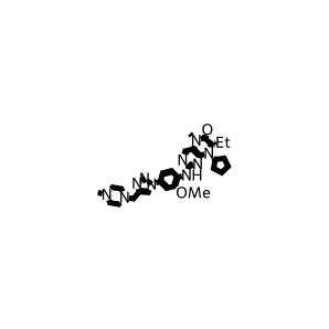 CC[C@@H]1C(=O)N(C)c2cnc(Nc3ccc(-n4cc(CN5CCN(C)CC5)nn4)cc3OC)nc2N1C1CCCC1